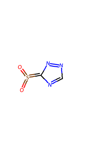 O=S(=O)=C1N=CN=N1